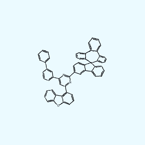 c1ccc(-c2cccc(-c3cc(-c4cccc5oc6ccccc6c45)nc(-c4ccc5c(c4)-c4ccccc4C54c5ccccc5-c5ccccc5-c5ccccc54)n3)c2)cc1